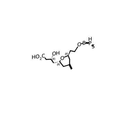 C=C1C[C@H](C[C@@H](O)CC(=O)O)O[C@@H](CCOB=[PH]=S)C1